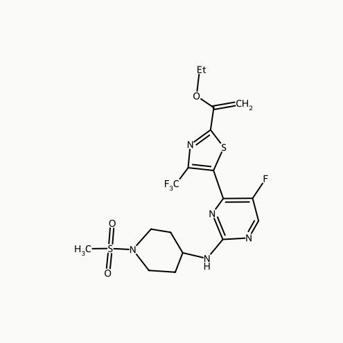 C=C(OCC)c1nc(C(F)(F)F)c(-c2nc(NC3CCN(S(C)(=O)=O)CC3)ncc2F)s1